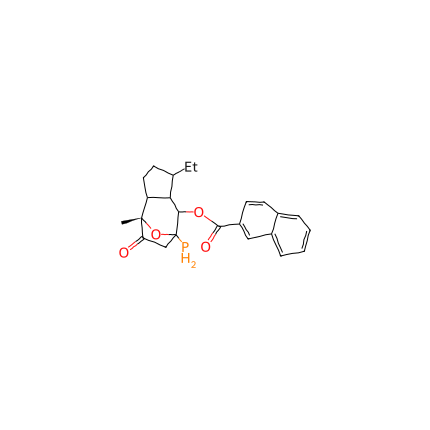 CCC1CCC2C1C(OC(=O)c1ccc3ccccc3c1)C1(P)CC(=O)[C@@]2(C)O1